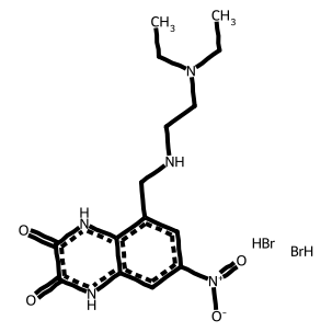 Br.Br.CCN(CC)CCNCc1cc([N+](=O)[O-])cc2[nH]c(=O)c(=O)[nH]c12